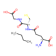 CCCC.N[C@@H](CCC(=O)N[C@@H](CS)C(=O)NCC(=O)O)C(=O)O